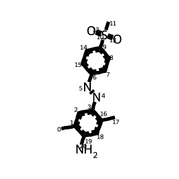 Cc1cc(/N=N/c2ccc(S(C)(=O)=O)cc2)c(C)cc1N